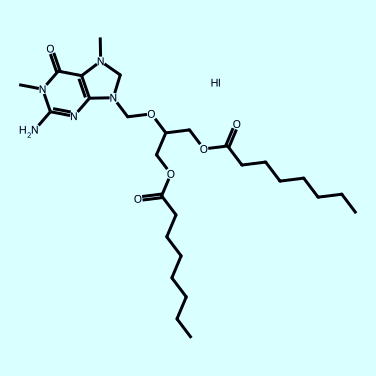 CCCCCCCC(=O)OCC(COC(=O)CCCCCCC)OCN1CN(C)c2c1nc(N)n(C)c2=O.I